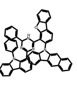 c1ccc(C2N=C(c3cccc4c5ccccc5n(-c5ccccc5)c34)N=C(c3c(-n4c5ccccc5c5cc6ccccc6cc54)ccc4c3oc3ccccc34)N2)cc1